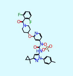 Cc1ccc(-n2nc(C3(C)CC3)cc2NC(=O)N(OS(C)(=O)=O)c2ccnc(OC3CCN(C(=O)c4c(F)cccc4F)CC3)c2)cc1